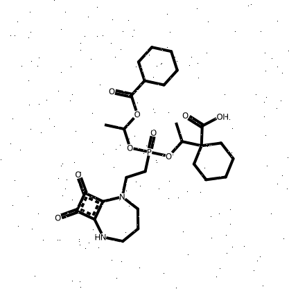 CC(OC(=O)C1CCCCC1)OP(=O)(CCN1CCCNc2c1c(=O)c2=O)OC(C)C1(C(=O)O)CCCCC1